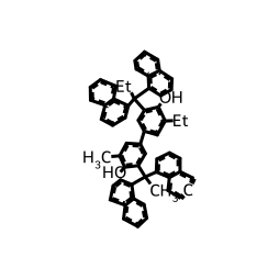 CCc1cc(-c2cc(C)c(O)c(C(C)(c3cccc4ccccc34)c3cccc4ccccc34)c2)cc(C(CC)(c2cccc3ccccc23)c2cccc3ccccc23)c1O